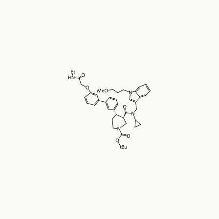 CCNC(=O)COc1cccc(-c2cccc([C@H]3CCN(C(=O)OC(C)(C)C)C[C@@H]3C(=O)N(Cc3cn(CCCOC)c4ccccc34)C3CC3)c2)c1